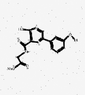 CCOc1cccc(-c2cnc(O)c(C(=O)NCC(=O)OC)n2)c1